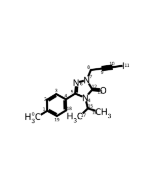 Cc1ccc(-c2nn(CC#CI)c(=O)n2C(C)C)cc1